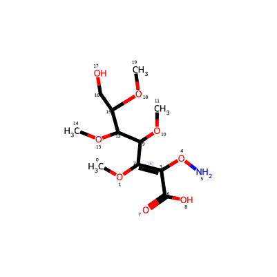 CO/C(=C(/ON)C(=O)O)C(OC)C(OC)C(CO)OC